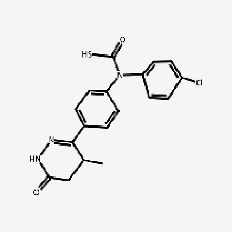 CC1CC(=O)NN=C1c1ccc(N(C(=O)S)c2ccc(Cl)cc2)cc1